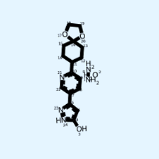 NN.O.Oc1cc(-c2ccc(C3CCC4(CC3)OCCO4)nc2)n[nH]1